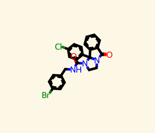 O=C(NCc1ccc(Br)cc1)N1CCN2C(=O)c3ccccc3C12c1ccc(Cl)cc1